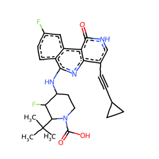 CC(C)(C)C1C(F)C(Nc2nc3c(C#CC4CC4)c[nH]c(=O)c3c3cc(F)ccc23)CCN1C(=O)O